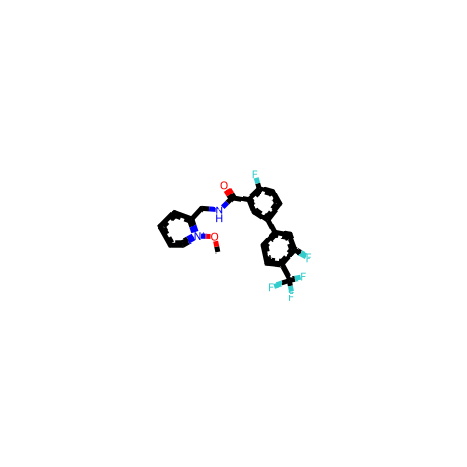 CO[n+]1ccccc1CNC(=O)c1cc(-c2ccc(C(F)(F)F)c(F)c2)ccc1F